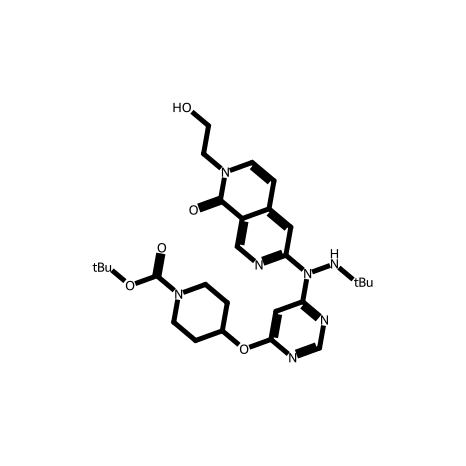 CC(C)(C)NN(c1cc(OC2CCN(C(=O)OC(C)(C)C)CC2)ncn1)c1cc2ccn(CCO)c(=O)c2cn1